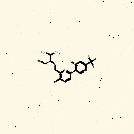 CC(C)[C@H](CO)NCc1nc(-c2ccc(C(F)(F)F)cc2F)ccc1F